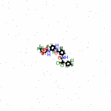 O=C(CS(=O)(=O)CC(F)(F)F)Nc1c(F)ccc(NC(=O)c2cc(NC(=O)[C@H]3[C@H](c4ccc(F)c(Cl)c4)C3(Cl)Cl)ccc2Cl)c1F